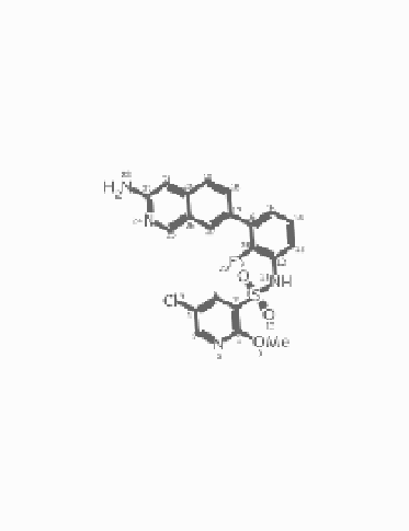 COc1ncc(Cl)cc1S(=O)(=O)Nc1cccc(-c2ccc3cc(N)ncc3c2)c1F